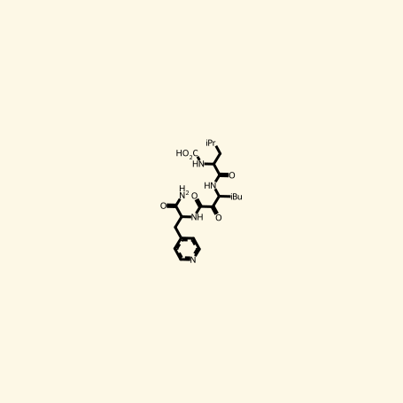 CCC(C)C(NC(=O)C(CC(C)C)NC(=O)O)C(=O)C(=O)NC(Cc1ccncc1)C(N)=O